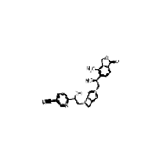 Cc1c(C(O)CN2CC3CN(CC(O)c4ccc(C#N)cn4)C3C2)ccc2c1COC2=O